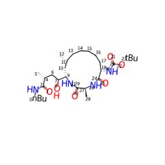 CCCCNC(=O)[C@H](C)C[C@H](O)[C@@H]1C[C@H](C)CCCCC[C@H](NC(=O)OC(C)(C)C)C(=O)N[C@@H](C)C(=O)N1